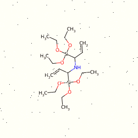 C=CC(NC(C=C)[Si](OCC)(OCC)OCC)[Si](OCC)(OCC)OCC